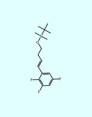 CC(C)(C)[Si](C)(C)OCCC=Cc1cc(F)cc(F)c1F